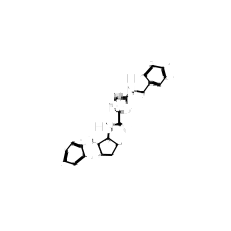 O=C(NC1CCC[C@@H]1Oc1ccccc1)c1nnc(NCc2ccccc2)o1